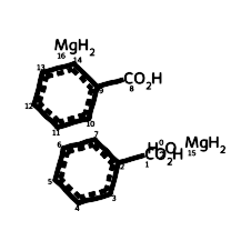 O.O=C(O)c1ccccc1.O=C(O)c1ccccc1.[MgH2].[MgH2]